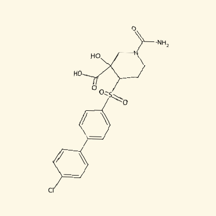 NC(=O)N1CCC(S(=O)(=O)c2ccc(-c3ccc(Cl)cc3)cc2)C(O)(C(=O)O)C1